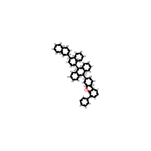 c1ccc(-c2cccc3c2oc2cc(-c4c5ccccc5c(-c5ccc(-c6ccc7ccccc7c6)c6ccccc56)c5ccccc45)ccc23)cc1